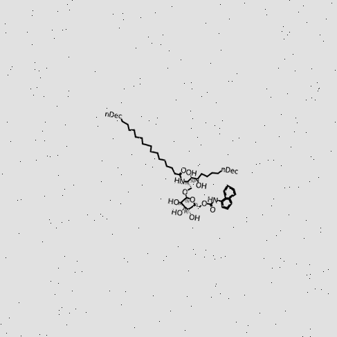 CCCCCCCCCCCCCCCCCCCCCCCCCC(=O)N[C@@H](CO[C@H]1O[C@H](COC(=O)Nc2cccc3ccccc23)[C@H](O)[C@H](O)[C@H]1O)[C@H](O)[C@H](O)CCCCCCCCCCCCCC